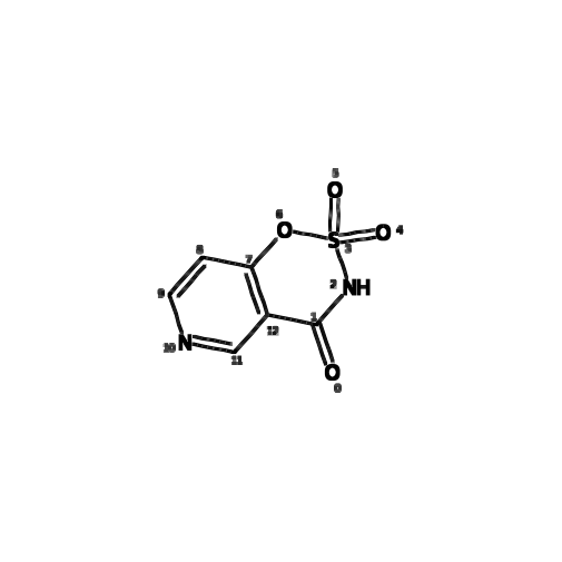 O=C1NS(=O)(=O)Oc2ccncc21